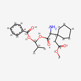 COC(=O)CC1(C(N)C(=O)OC(OC(=O)c2ccccc2)C(C)C)CCCCC1